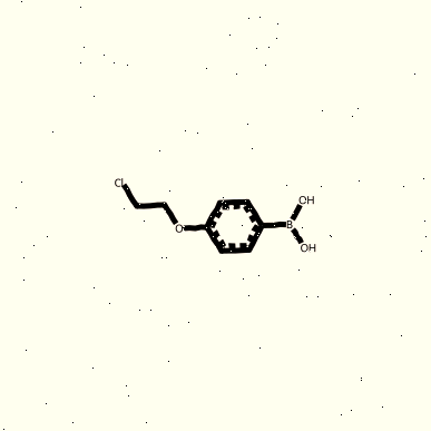 OB(O)c1ccc(OCCCl)cc1